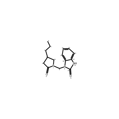 CCCC1CC(=O)N(Cn2c(=O)[nH]c3ccccc32)C1